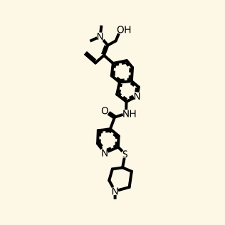 C=C/C(=C(/CO)N(C)C)c1ccc2cnc(NC(=O)c3ccnc(SC4CCN(C)CC4)c3)cc2c1